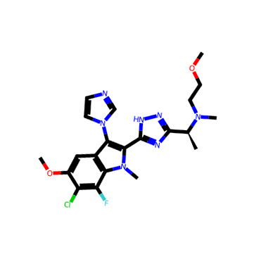 COCCN(C)[C@@H](C)c1n[nH]c(-c2c(-n3ccnc3)c3cc(OC)c(Cl)c(F)c3n2C)n1